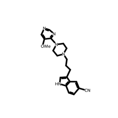 COc1cncnc1N1CCN(CCCc2c[nH]c3ccc(C#N)cc23)CC1